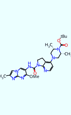 COc1nc2nc(C)cn2cc1NC(=O)N1CCc2c(N3C[C@@H](C)N(C(=O)OC(C)(C)C)[C@@H](C)C3)ccnc21